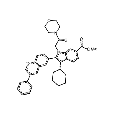 COC(=O)c1ccc2c(C3CCCCC3)c(-c3ccc4ncc(-c5ccccc5)cc4c3)n(CC(=O)N3CCOCC3)c2c1